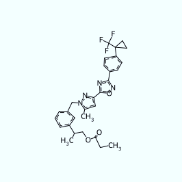 CCC(=O)OCC(C)c1cccc(Cn2nc(-c3nc(-c4ccc(C5(C(F)(F)F)CC5)cc4)no3)cc2C)c1